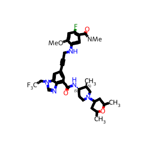 CNC(=O)c1cc(NCC#Cc2cc(C(=O)N[C@H]3CCN(C4CC(C)OC(C)C4)C[C@@H]3C)c3ncn(CC(F)(F)F)c3c2)c(OC)cc1F